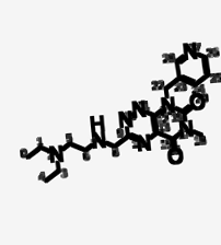 CCN(CC)CCNCc1nnc2c(n1)c(=O)n(C)c(=O)n2Cc1cccnc1